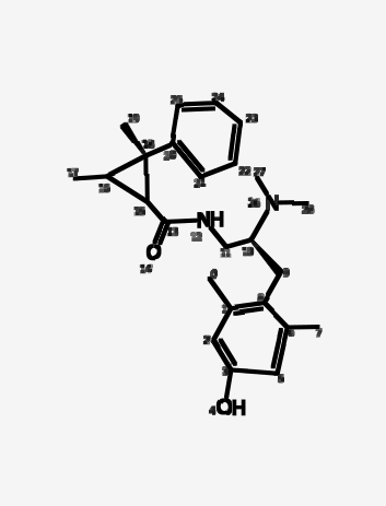 Cc1cc(O)cc(C)c1C[C@@H](CNC(=O)C1C(C)[C@]1(C)c1ccccc1)N(C)C